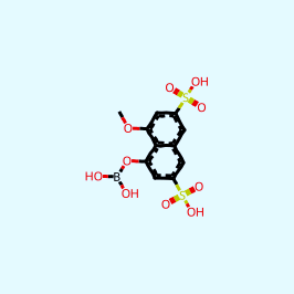 COc1cc(S(=O)(=O)O)cc2cc(S(=O)(=O)O)cc(OB(O)O)c12